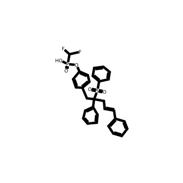 O=P(O)(Oc1ccc(CC(CC=Cc2ccccc2)(c2ccccc2)S(=O)(=O)c2ccccc2)cc1)C(F)F